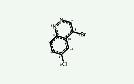 Clc1ccc2nncc(Br)c2c1